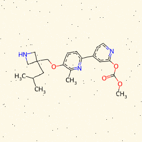 COC(=O)Oc1cc(-c2ccc(OCC3(CC(C)C)CNC3)c(C)n2)ccn1